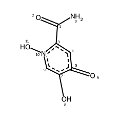 NC(=O)c1cc(=O)c(O)cn1O